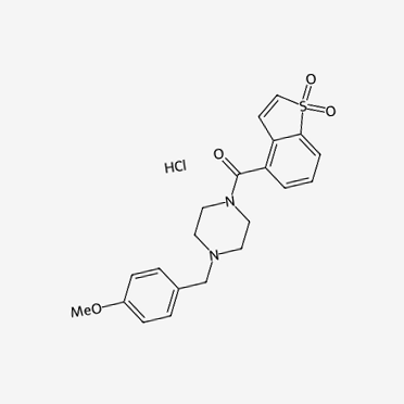 COc1ccc(CN2CCN(C(=O)c3cccc4c3C=CS4(=O)=O)CC2)cc1.Cl